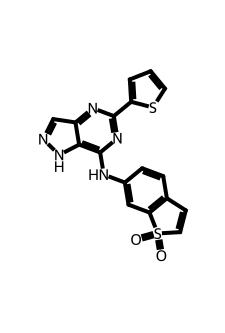 O=S1(=O)C=Cc2ccc(Nc3nc(-c4cccs4)nc4cn[nH]c34)cc21